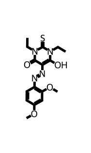 CCn1c(O)c(/N=N/c2ccc(OC)cc2OC)c(=O)n(CC)c1=S